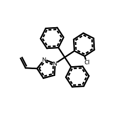 C=Cc1ccn(C(c2ccccc2)(c2ccccc2)c2ccccc2Cl)n1